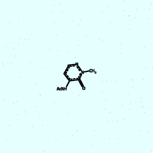 CC(=O)Nc1c[c]nn(C)c1=O